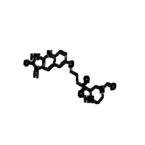 O=CN1CCNC(S(=O)(=O)CCCOc2ccc3nc4[nH]c(=O)[nH]c4cc3c2)C1